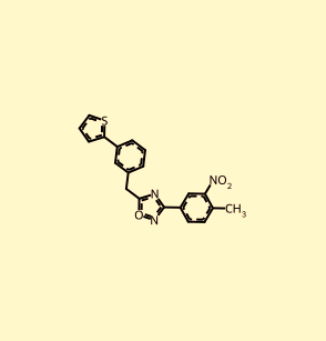 Cc1ccc(-c2noc(Cc3cccc(-c4cccs4)c3)n2)cc1[N+](=O)[O-]